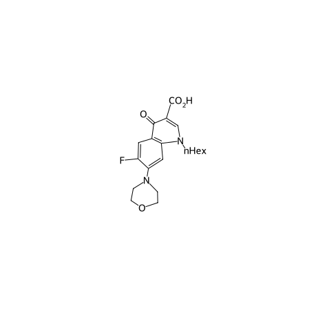 CCCCCCn1cc(C(=O)O)c(=O)c2cc(F)c(N3CCOCC3)cc21